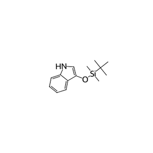 CC(C)(C)[Si](C)(C)Oc1c[nH]c2ccccc12